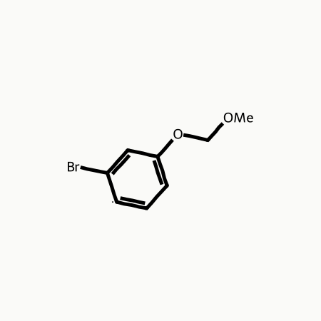 COCOc1cc[c]c(Br)c1